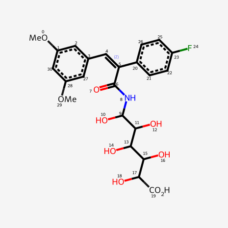 COc1cc(/C=C(\C(=O)NC(O)C(O)C(O)C(O)C(O)C(=O)O)c2ccc(F)cc2)cc(OC)c1